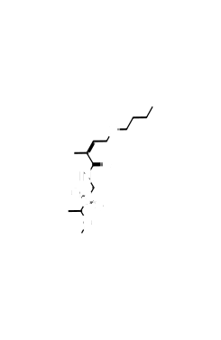 CCCCOCC=C(C)C(=O)NCS(=O)(=O)C(C)OC